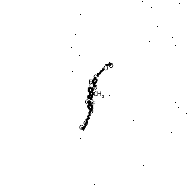 CC1c2cc(OC(=O)c3ccc(OCCCCCCOCC4CO4)cc3F)ccc2-c2ccc(OC(=O)c3ccc(OCCCCCCOCC4CO4)cc3F)cc21